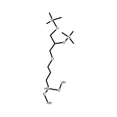 CCCO[SiH](CCCOCC(CO[Si](C)(C)C)O[Si](C)(C)C)OCCC